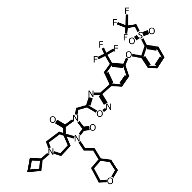 O=C1N(Cc2nc(-c3ccc(Oc4ccccc4S(=O)(=O)CC(F)(F)F)c(C(F)(F)F)c3)no2)C(=O)C2(CCN(C3CCC3)CC2)N1CCC1CCOCC1